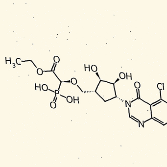 CCOC(=O)[C@@H](OC[C@H]1C[C@@H](n2cnc3cccc(Cl)c3c2=O)[C@H](O)[C@@H]1O)P(=O)(O)O